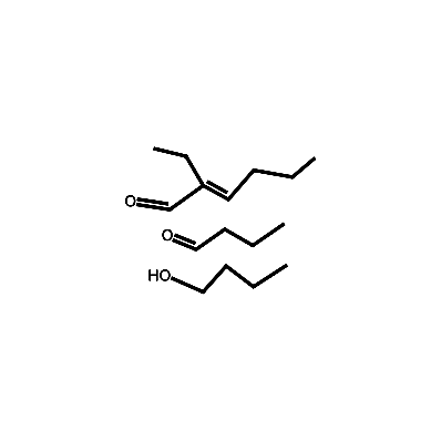 CCC/C=C(/C=O)CC.CCCC=O.CCCCO